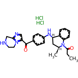 CCC(=O)N1c2ccccc2[C@H](Nc2ccc(C(=O)c3cnc4n3CCNC4)cc2)C[C@@H]1C.Cl.Cl